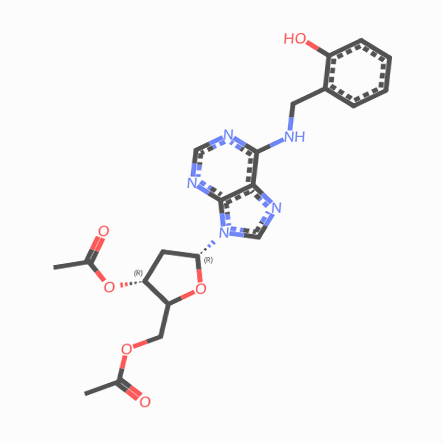 CC(=O)OCC1O[C@@H](n2cnc3c(NCc4ccccc4O)ncnc32)C[C@H]1OC(C)=O